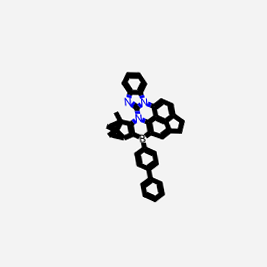 CC12CCC(C3=C1n1c4c(cc5c6c(ccc(c64)n4c6ccccc6nc14)CC5)B3c1ccc(-c3ccccc3)cc1)C2(C)C